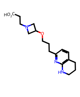 O=C(O)CCN1CC(OCCCc2ccc3c(n2)NCCC3)C1